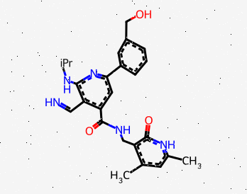 Cc1cc(C)c(CNC(=O)c2cc(-c3cccc(CO)c3)nc(NC(C)C)c2C=N)c(=O)[nH]1